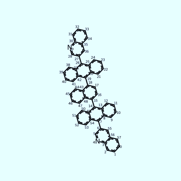 c1ccc2ncc(-c3c4ccccc4c(-c4ccc(-c5c6ccccc6c(-c6cnc7ccccc7c6)c6ccccc56)c5ccccc45)c4ccccc34)cc2c1